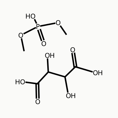 COP(=O)(O)OC.O=C(O)C(O)C(O)C(=O)O